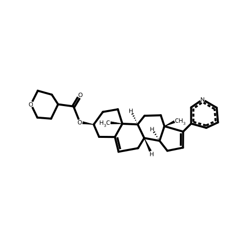 C[C@]12CC[C@H](OC(=O)C3CCOCC3)CC1=CC[C@@H]1[C@@H]2CC[C@]2(C)C(c3cccnc3)=CC[C@@H]12